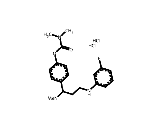 CNC(CCNc1cccc(F)c1)c1ccc(OC(=O)N(C)C)cc1.Cl.Cl